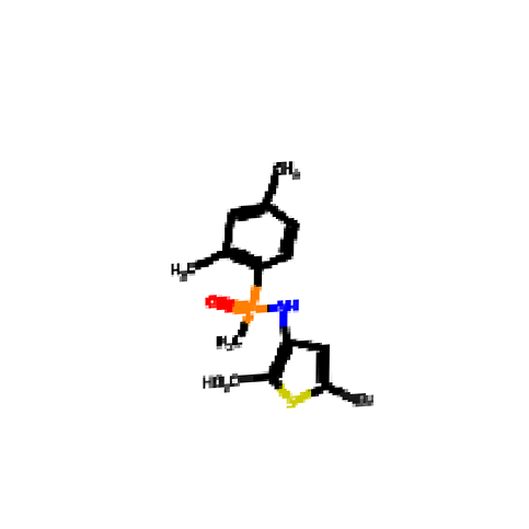 Cc1ccc(P(C)(=O)Nc2cc(C(C)(C)C)sc2C(=O)O)c(C)c1